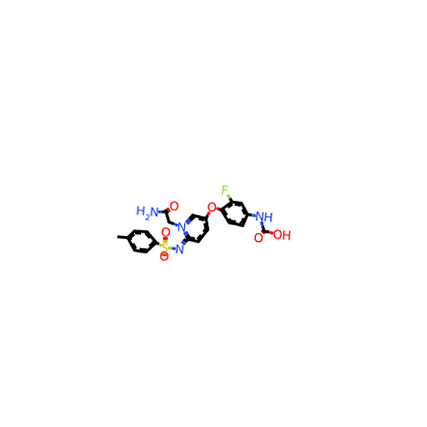 Cc1ccc(S(=O)(=O)N=c2ccc(Oc3ccc(NC(=O)O)cc3F)cn2CC(N)=O)cc1